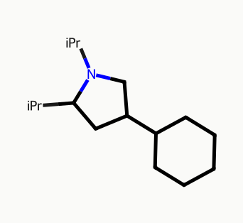 CC(C)C1CC(C2CCCCC2)CN1C(C)C